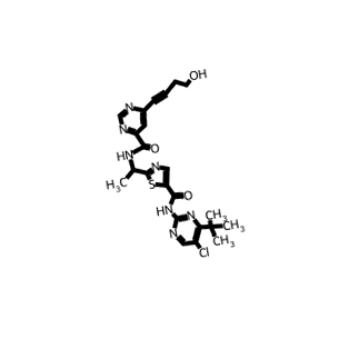 CC(NC(=O)c1cc(C#CCCO)ncn1)c1ncc(C(=O)Nc2ncc(Cl)c(C(C)(C)C)n2)s1